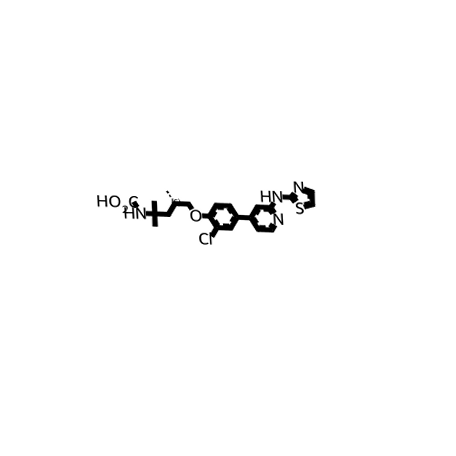 C[C@H](COc1ccc(-c2ccnc(Nc3nccs3)c2)cc1Cl)CC(C)(C)NC(=O)O